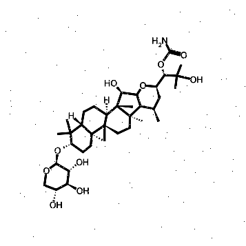 C[C@@H]1C[C@H]([C@H](OC(N)=O)C(C)(C)O)OC2C1[C@@]1(C)CC[C@@]34C[C@@]35CC[C@H](O[C@@H]3OC[C@@H](O)[C@H](O)[C@H]3O)C(C)(C)[C@@H]5CC[C@H]4[C@]1(C)[C@H]2O